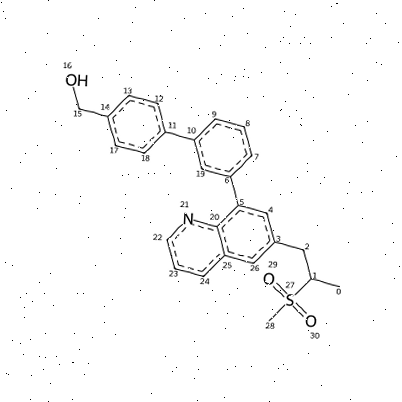 CC(Cc1cc(-c2cccc(-c3ccc(CO)cc3)c2)c2ncccc2c1)S(C)(=O)=O